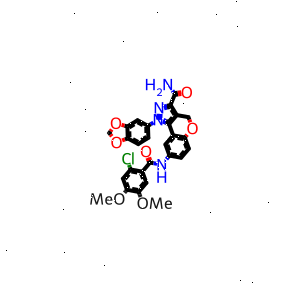 COc1cc(Cl)c(C(=O)Nc2ccc3c(c2)-c2c(c(C(N)=O)nn2-c2ccc4c(c2)OCO4)CO3)cc1OC